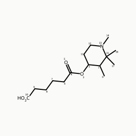 CC1C(OC(=O)CCCCC(=O)O)CCN(C)C1(C)C